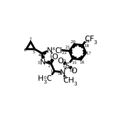 CC(c1nc(C2CC2)no1)N(C)S(=O)(=O)c1ccc(C(F)(F)F)cc1Cl